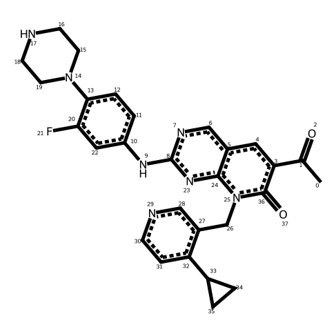 CC(=O)c1cc2cnc(Nc3ccc(N4CCNCC4)c(F)c3)nc2n(Cc2cnccc2C2CC2)c1=O